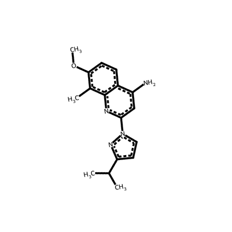 COc1ccc2c(N)cc(-n3ccc(C(C)C)n3)nc2c1C